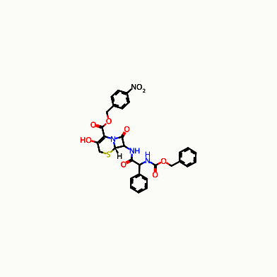 O=C(NC(C(=O)NC1C(=O)N2C(C(=O)OCc3ccc([N+](=O)[O-])cc3)=C(O)CS[C@@H]12)c1ccccc1)OCc1ccccc1